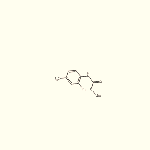 Cc1ccc(NC(=O)OC(C)(C)C)c(Cl)c1